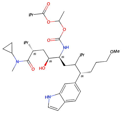 COCCC[C@H](c1ccc2cc[nH]c2c1)C(C[C@H](NC(=O)OC(C)OC(=O)C(C)C)[C@@H](O)C[C@H](C(=O)N(C)C1CC1)C(C)C)C(C)C